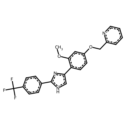 COc1cc(OCc2ccccn2)ccc1-c1c[nH]c(-c2ccc(C(F)(F)F)cc2)n1